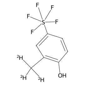 [2H]C([2H])([2H])c1cc(S(F)(F)(F)(F)F)ccc1O